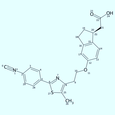 [C-]#[N+]c1ccc(-c2nc(CCOc3ccc4c(c3)CC[C@H]4CC(=O)O)c(C)s2)cc1